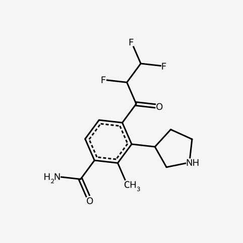 Cc1c(C(N)=O)ccc(C(=O)C(F)C(F)F)c1C1CCNC1